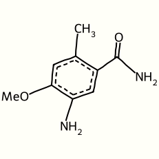 COc1cc(C)c(C(N)=O)cc1N